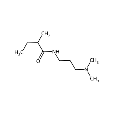 CCC(C)C(=O)NCCCN(C)C